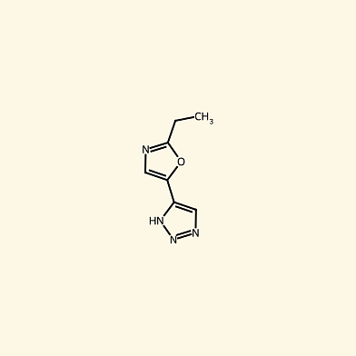 CCc1ncc(-c2cnn[nH]2)o1